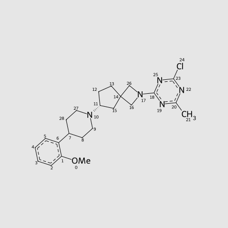 COc1ccccc1C1CCN([C@@H]2CCC3(C2)CN(c2nc(C)nc(Cl)n2)C3)CC1